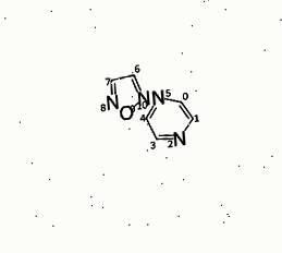 c1cnccn1.c1cnon1